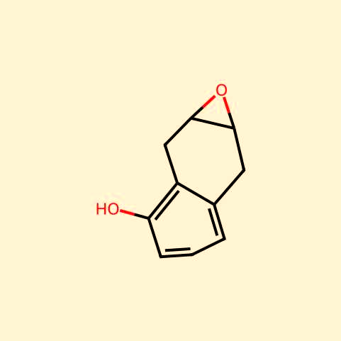 Oc1cccc2c1CC1OC1C2